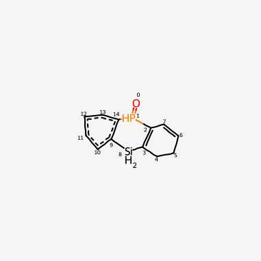 O=[PH]1C2=C(CCC=C2)[SiH2]c2ccccc21